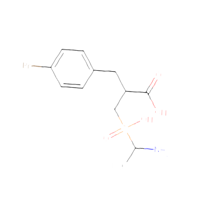 CC(N)P(=O)(O)CC(Cc1ccc(Br)cc1)C(=O)O